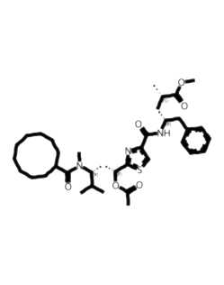 COC(=O)[C@@H](C)C[C@H](Cc1ccccc1)NC(=O)c1csc([C@@H](C[C@H](C(C)C)N(C)C(=O)C2CCCCCCCCC2)OC(C)=O)n1